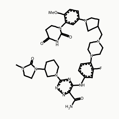 COc1ccc(N2CCC(CN3CCN(c4ccc(Nc5nc(N6CCCC(N7CCN(C)C7=O)C6)nnc5C(N)=O)cc4F)CC3)C2)cc1N1CCC(=O)NC1=O